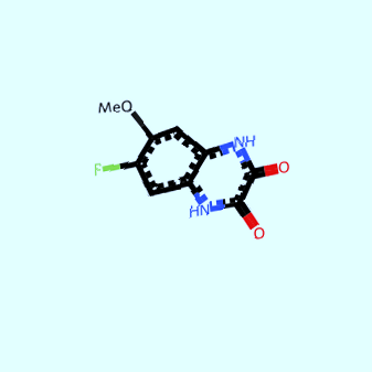 COc1cc2[nH]c(=O)c(=O)[nH]c2cc1F